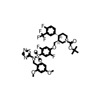 COc1ccc(CN(c2ncns2)S(=O)(=O)c2cc(F)c(OC[C@@H]3CN(C(=O)OC(C)(C)C)CC[C@H]3c3ccc(F)c(C(F)(F)F)c3)cc2F)c(OC)c1